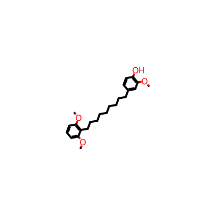 COc1cc(CCCCCCCCCc2c(OC)cccc2OC)ccc1O